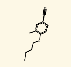 N#Cc1ccc(OCCCCl)c(F)c1